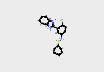 Clc1ccc(NSc2ccccc2)cc1-c1nc2ccccc2[nH]1